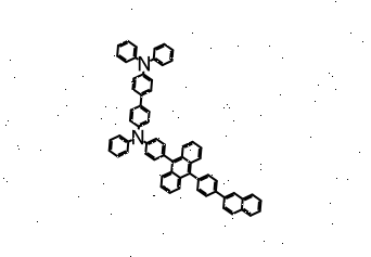 c1ccc(N(c2ccccc2)c2ccc(-c3ccc(N(c4ccccc4)c4ccc(-c5c6ccccc6c(-c6ccc(-c7ccc8ccccc8c7)cc6)c6ccccc56)cc4)cc3)cc2)cc1